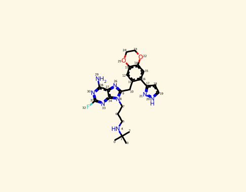 CC(C)(C)NCCCn1c(Cc2cc3c(cc2-c2cc[nH]n2)OCCO3)nc2c(N)nc(F)nc21